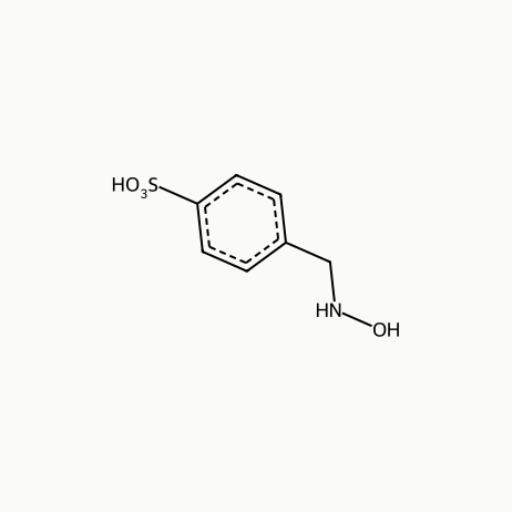 O=S(=O)(O)c1ccc(CNO)cc1